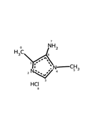 Cc1ncn(C)c1N.Cl